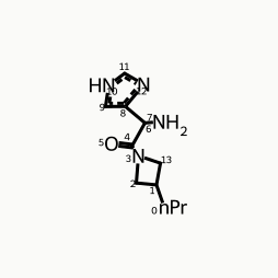 CCCC1CN(C(=O)C(N)c2c[nH]cn2)C1